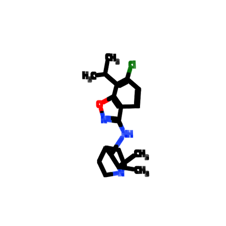 CC(C)c1c(Cl)ccc2c(NC3C4CCN(CC4)C3(C)C)noc12